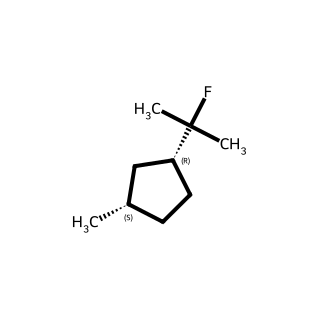 C[C@H]1CC[C@@H](C(C)(C)F)C1